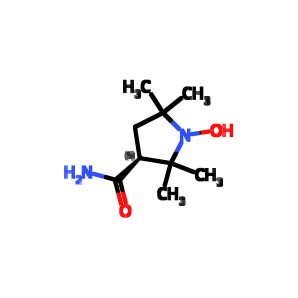 CC1(C)C[C@H](C(N)=O)C(C)(C)N1O